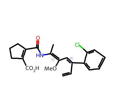 C=C/C(=C\C(OC)=C(/C)NC(=O)C1=C(C(=O)O)CCC1)c1ccccc1Cl